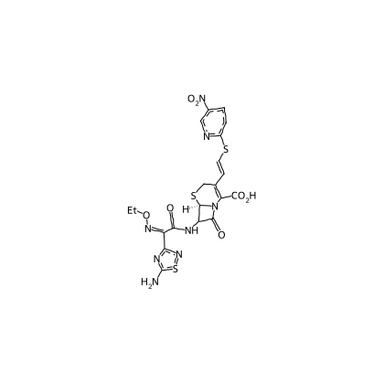 CCO/N=C(\C(=O)NC1C(=O)N2C(C(=O)O)=C(/C=C/Sc3ccc([N+](=O)[O-])cn3)CS[C@H]12)c1nsc(N)n1